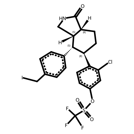 O=C1NC[C@H]2[C@@H](c3ccc(CI)cc3)[C@H](c3ccc(OS(=O)(=O)C(F)(F)F)cc3Cl)CC[C@@H]12